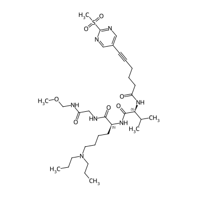 CCCN(CCC)CCCC[C@H](NC(=O)[C@@H](NC(=O)CCCC#Cc1cnc(S(C)(=O)=O)nc1)C(C)C)C(=O)NCC(=O)NCOC